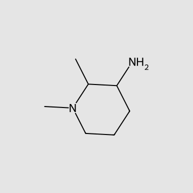 CC1C(N)CCCN1C